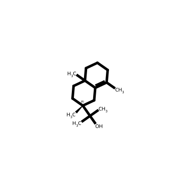 CC1=C2C[C@](C)(C(C)(C)O)CCC2(C)CCC1